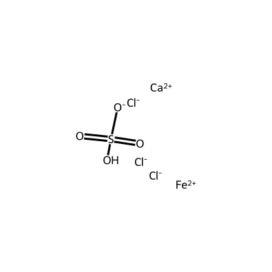 O=S(=O)([O-])O.[Ca+2].[Cl-].[Cl-].[Cl-].[Fe+2]